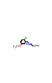 CSCCNCc1cc(OC(F)(F)F)ccc1Br